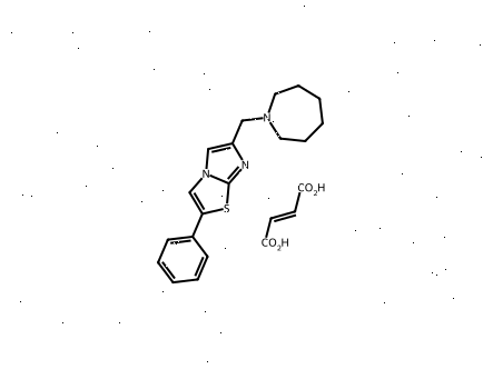 O=C(O)C=CC(=O)O.c1ccc(-c2cn3cc(CN4CCCCCC4)nc3s2)cc1